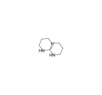 C1CNC2=[N+](C1)CCCN2